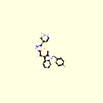 Cc1c(C(=O)c2nnc(-c3ccnnc3)o2)c2ccccc2n1Cc1ccc(Cl)cc1